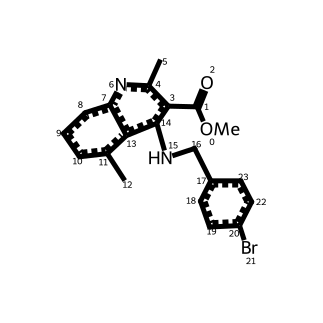 COC(=O)c1c(C)nc2cccc(C)c2c1NCc1ccc(Br)cc1